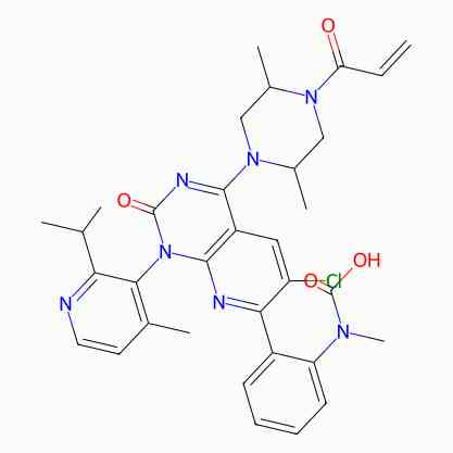 C=CC(=O)N1CC(C)N(c2nc(=O)n(-c3c(C)ccnc3C(C)C)c3nc(-c4ccccc4N(C)C(=O)O)c(Cl)cc23)CC1C